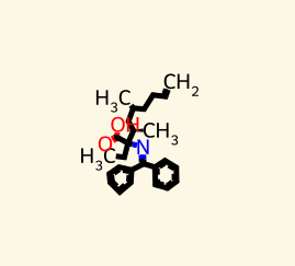 C=CCCC(C)C[C@@H](C)C(CC)(N=C(c1ccccc1)c1ccccc1)C(=O)O